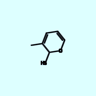 CC1=CC=COC1S